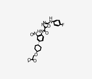 COC(=O)CO[C@H]1CC[C@H](c2ccc(NC(=O)c3nnc(Nc4ccc(F)cc4)o3)c(N=O)c2)CC1